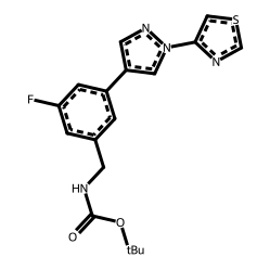 CC(C)(C)OC(=O)NCc1cc(F)cc(-c2cnn(-c3cscn3)c2)c1